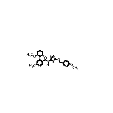 COc1cccc(F)c1-c1cc(C)ncc1C(=O)Nc1nnc(OCc2ccc(SC)cc2)s1